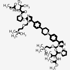 COC(=O)N[C@H](C(=O)N1CCC[C@H]1c1ncc(-c2ccc(C3CCN(c4ccc(-c5cnc([C@@H]6CCCN6C(=O)[C@@H](NC(=O)OC)C(C)C)n5COCC[Si](C)(C)C)cc4)CC3)cc2)n1COCC[Si](C)(C)C)C(C)C